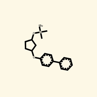 CC(C)(C)[Si](C)(C)OC1CCC(Oc2ccc(-c3ccccc3)cc2)C1